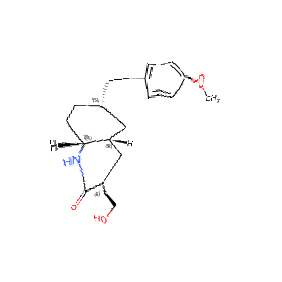 COc1ccc(C[C@H]2CC[C@H]3NC(=O)[C@H](CO)C[C@H]3C2)cc1